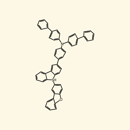 c1ccc(-c2ccc(N(c3ccc(-c4ccccc4)cc3)c3ccc(-c4ccc5c(c4)-c4ccccc4[SH]5c4ccc5oc6ccccc6c5c4)cc3)cc2)cc1